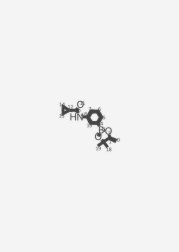 C=C1OB(c2cccc(NC(=O)C3CC3)c2)OC1(C)C